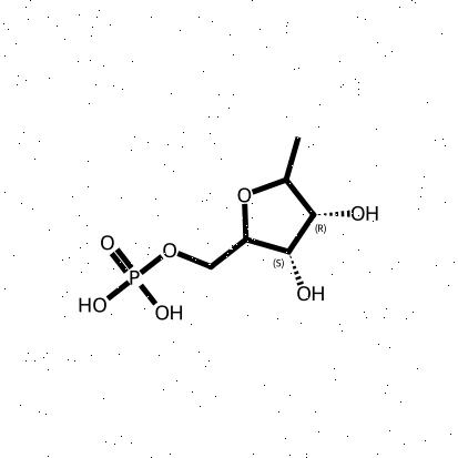 CC1OC(COP(=O)(O)O)[C@@H](O)[C@H]1O